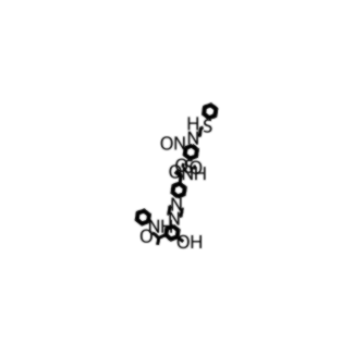 CC(C(=O)Nc1ccccc1)c1cc(O)cc(N2CCN(c3ccc(C(=O)NS(=O)(=O)c4ccc(NCCSc5ccccc5)c(N=O)c4)cc3)CC2)c1